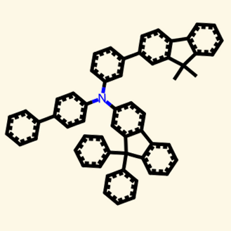 CC1(C)c2ccccc2-c2ccc(-c3cccc(N(c4ccc(-c5ccccc5)cc4)c4ccc5c(c4)C(c4ccccc4)(c4ccccc4)c4ccccc4-5)c3)cc21